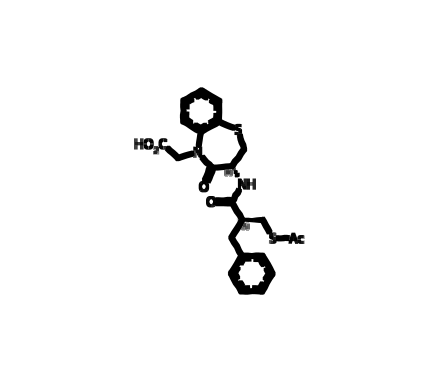 CC(=O)SC[C@@H](Cc1ccccc1)C(=O)N[C@H]1CSc2ccccc2N(CC(=O)O)C1=O